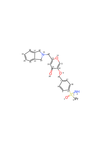 CC(C)S(=N)(=O)c1ccc(COc2coc(CN3Cc4ccccc4C3)cc2=O)cc1